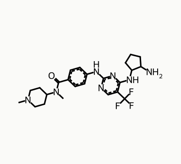 CN1CCC(N(C)C(=O)c2ccc(Nc3ncc(C(F)(F)F)c(NC4CCCC4N)n3)cc2)CC1